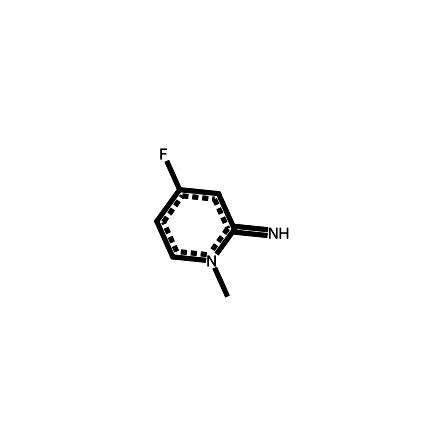 Cn1ccc(F)cc1=N